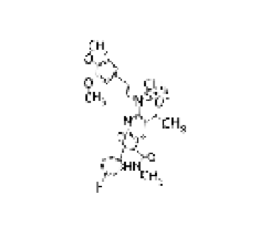 CCc1cc2c(C(=O)NC)c(-c3ccc(F)cc3)oc2nc1N(CCc1ccc(OC)c(OC)c1)[S+](C)[O-]